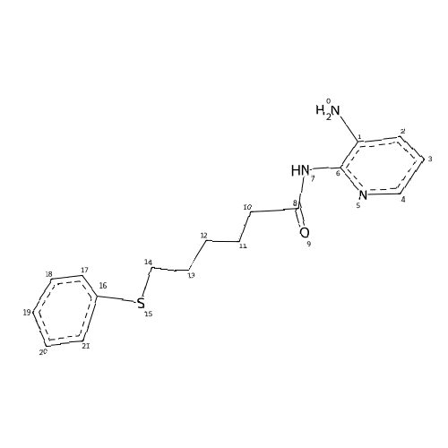 Nc1cccnc1NC(=O)CCCCCSc1ccccc1